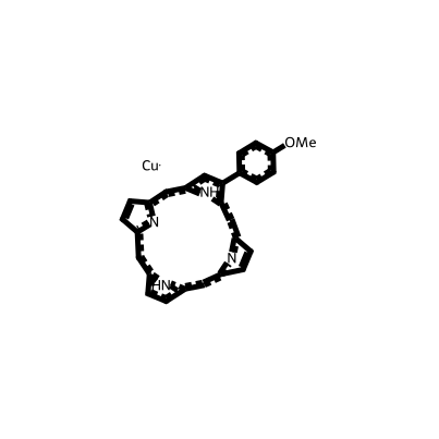 COc1ccc(-c2cc3cc4nc(cc5ccc(cc6nc(cc2[nH]3)C=C6)[nH]5)C=C4)cc1.[Cu]